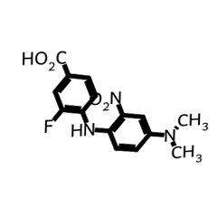 CN(C)c1ccc(Nc2ccc(C(=O)O)cc2F)c([N+](=O)[O-])c1